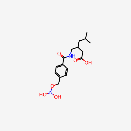 CC(C)CC(CNC(=O)c1ccc(CON(O)O)cc1)CC(=O)O